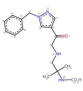 CC(C)(CNCC(=O)c1cnn(Cc2ccccc2)c1)NC(=O)O